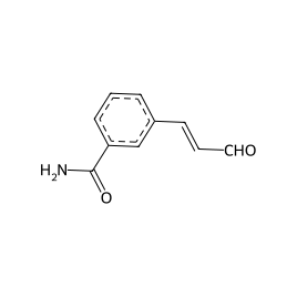 NC(=O)c1cccc(C=CC=O)c1